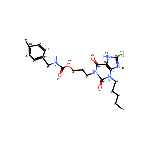 CCCCCn1c(=O)n(CCCOC(=O)NCc2ccc(C)cc2)c(=O)c2[nH]c(Cl)nc21